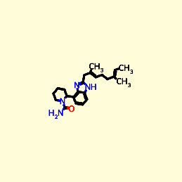 CC=C(C)CCC=C(C)Cc1nc2c(C3CCCCN3C(N)=O)cccc2[nH]1